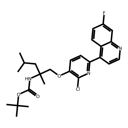 CC(C)CC(C)(COc1ccc(-c2ccnc3cc(F)ccc23)nc1Cl)NC(=O)OC(C)(C)C